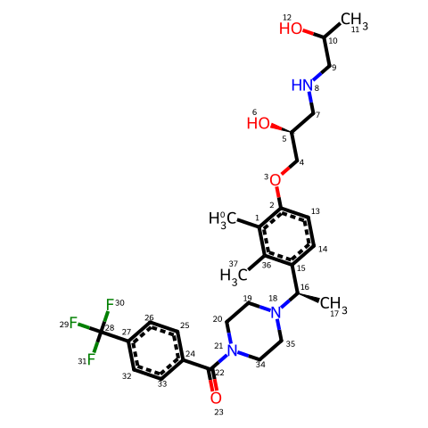 Cc1c(OC[C@@H](O)CNCC(C)O)ccc([C@@H](C)N2CCN(C(=O)c3ccc(C(F)(F)F)cc3)CC2)c1C